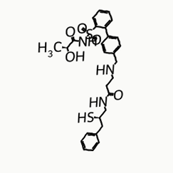 C[C@H](O)C(=O)NS(=O)(=O)c1ccccc1-c1ccc(CNCCC(=O)NC[C@H](S)Cc2ccccc2)cc1